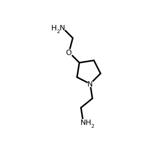 NCCN1CCC(OCN)C1